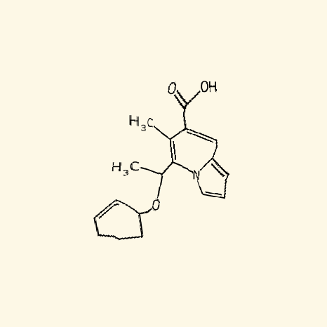 Cc1c(C(=O)O)cc2cccn2c1C(C)OC1C=CCCC1